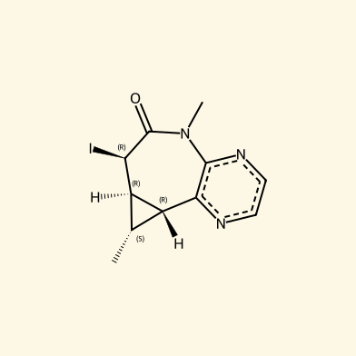 C[C@H]1[C@H]2c3nccnc3N(C)C(=O)[C@H](I)[C@H]12